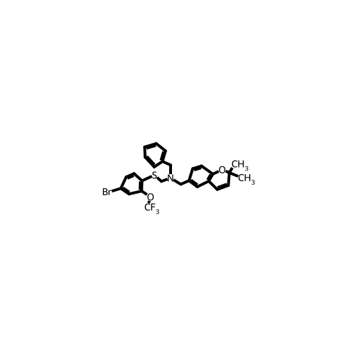 CC1(C)C=Cc2cc(CN(CSc3ccc(Br)cc3OC(F)(F)F)Cc3ccccc3)ccc2O1